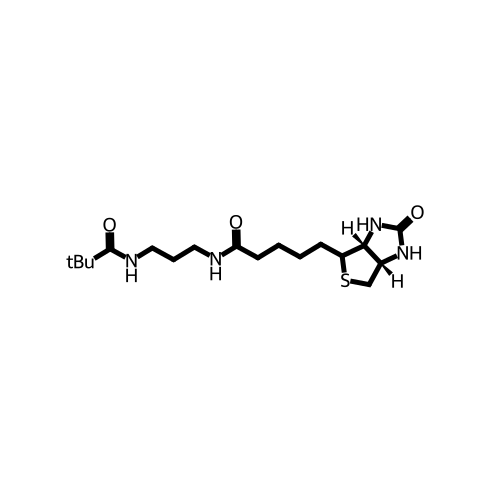 CC(C)(C)C(=O)NCCCNC(=O)CCCCC1SC[C@H]2NC(=O)N[C@@H]12